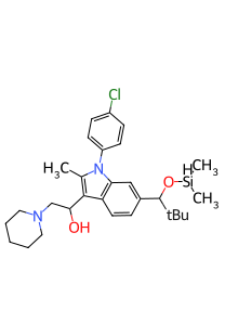 Cc1c(C(O)CN2CCCCC2)c2ccc(C(O[SiH](C)C)C(C)(C)C)cc2n1-c1ccc(Cl)cc1